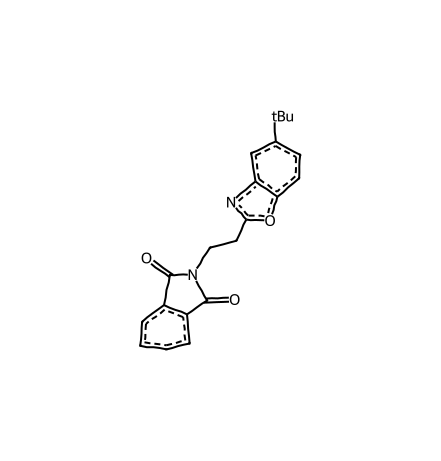 CC(C)(C)c1ccc2oc(CCN3C(=O)c4ccccc4C3=O)nc2c1